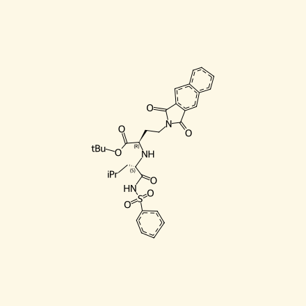 CC(C)C[C@H](N[C@H](CCN1C(=O)c2cc3ccccc3cc2C1=O)C(=O)OC(C)(C)C)C(=O)NS(=O)(=O)c1ccccc1